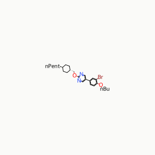 CCCCC[C@H]1CC[C@H](COc2ncc(-c3ccc(OCCCC)c(Br)c3)cn2)CC1